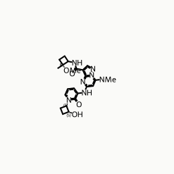 CNc1cc(Nc2cccn([C@H]3CC[C@@H]3O)c2=O)nc2c(C(=O)NC3CC[C@@]3(C)OC)cnn12